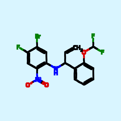 C=CC(Nc1cc(Br)c(F)cc1[N+](=O)[O-])c1ccccc1OC(F)F